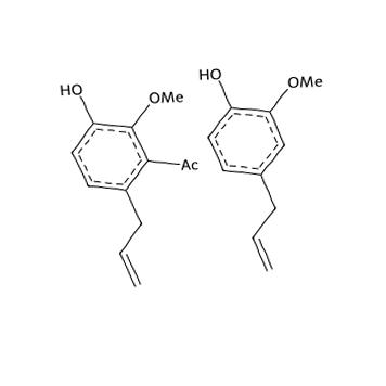 C=CCc1ccc(O)c(OC)c1.C=CCc1ccc(O)c(OC)c1C(C)=O